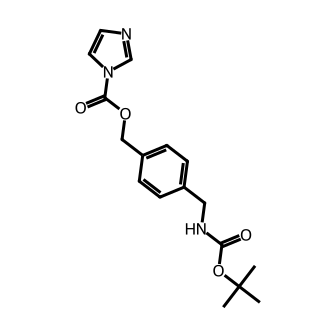 CC(C)(C)OC(=O)NCc1ccc(COC(=O)n2ccnc2)cc1